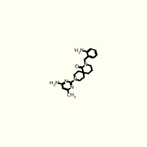 Cc1cc(N)nc(N2CCC3(CCCN(Cc4ccccc4N)C3=O)CC2)n1